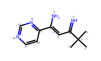 CC(C)(C)C(=N)/C=C(\N)c1ccncn1